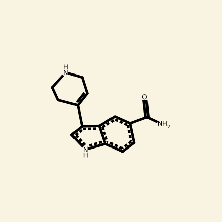 NC(=O)c1ccc2[nH]cc(C3=CCNCC3)c2c1